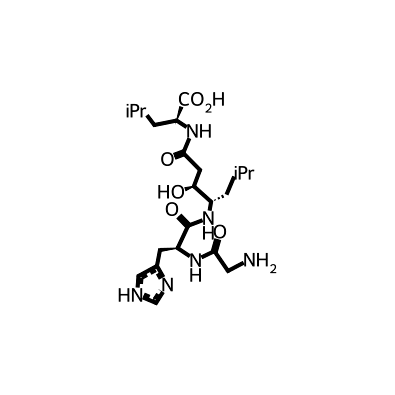 CC(C)C[C@H](NC(=O)C[C@H](O)[C@H](CC(C)C)NC(=O)[C@H](Cc1c[nH]cn1)NC(=O)CN)C(=O)O